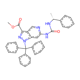 COC(=O)c1nn(C(c2ccccc2)(c2ccccc2)c2ccccc2)c2cc(NC(=O)N[C@H](C)c3ccccc3)ncc12